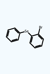 Brc1ccccc1[Se]c1ccccc1